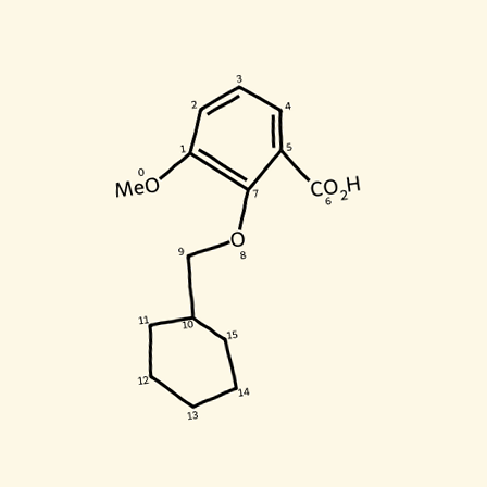 COc1cccc(C(=O)O)c1OCC1CCCCC1